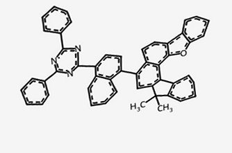 CC1(C)c2ccccc2-c2c1cc(-c1ccc(-c3nc(-c4ccccc4)nc(-c4ccccc4)n3)c3ccccc13)c1ccc3c4ccccc4oc3c21